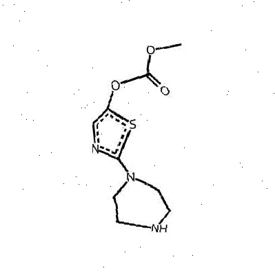 COC(=O)Oc1cnc(N2CCNCC2)s1